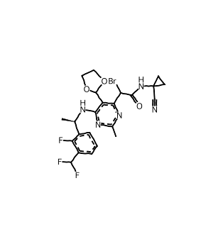 Cc1nc(N[C@H](C)c2cccc(C(F)F)c2F)c(C2OCCO2)c(C(Br)C(=O)NC2(C#N)CC2)n1